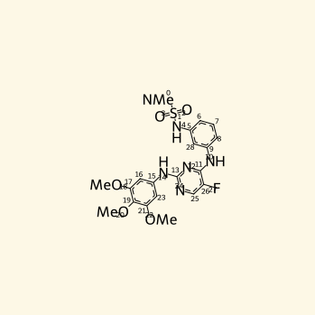 CNS(=O)(=O)Nc1cccc(Nc2nc(Nc3cc(OC)c(OC)c(OC)c3)ncc2F)c1